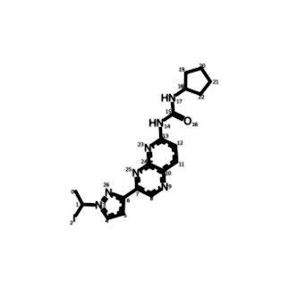 CC(I)n1ccc(-c2cnc3ccc(NC(=O)NC4CCCC4)nc3n2)n1